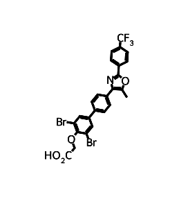 Cc1oc(-c2ccc(C(F)(F)F)cc2)nc1-c1ccc(-c2cc(Br)c(OCC(=O)O)c(Br)c2)cc1